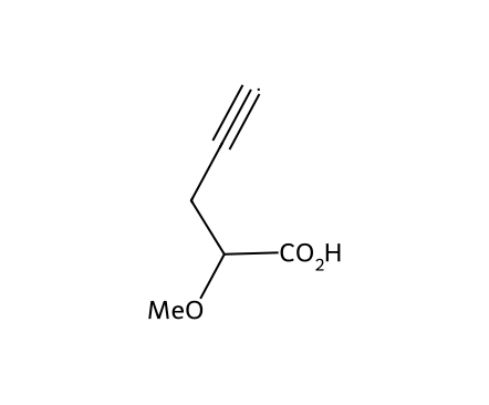 [C]#CCC(OC)C(=O)O